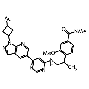 CNC(=O)c1ccc(C(C)CNc2cc(-c3cnc4c(cnn4C4CC(C(C)=O)C4)c3)ncn2)c(OC)c1